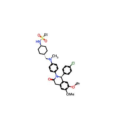 CCS(=O)(=O)N[C@H]1CC[C@H](CN(C)c2ccc(N3C(=O)Cc4cc(OC)c(OC(C)C)cc4[C@@H]3c3ccc(Cl)cc3)cc2)CC1